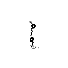 CS(=O)(=O)OCCc1ccc(OCCOCc2cccc(C#N)c2)cc1